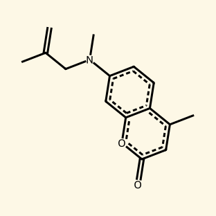 C=C(C)CN(C)c1ccc2c(C)cc(=O)oc2c1